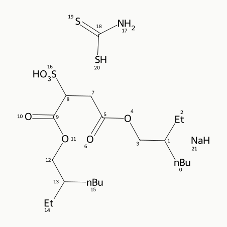 CCCCC(CC)COC(=O)CC(C(=O)OCC(CC)CCCC)S(=O)(=O)O.NC(=S)S.[NaH]